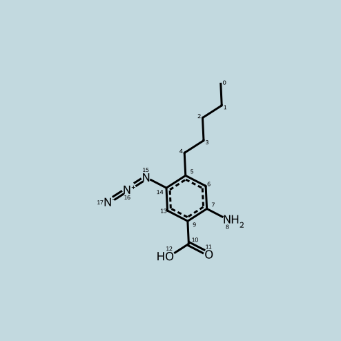 CCCCCc1cc(N)c(C(=O)O)cc1N=[N+]=[N-]